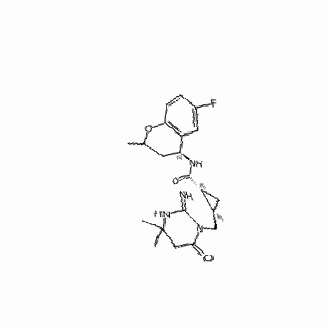 CC1C[C@H](NC(=O)[C@@H]2C[C@H]2CN2C(=N)NC(C)(C)CC2=O)c2cc(F)ccc2O1